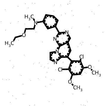 CCOCCN(C)c1cccc(-c2ncc3cc(-c4c(Cl)c(OC)cc(OC)c4Cl)c4nccn4c3n2)c1